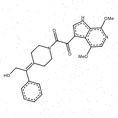 COc1ncc(OC)c2c(C(=O)C(=O)N3CCC(=C(CO)c4ccccc4)CC3)c[nH]c12